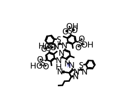 CCCCc1nn(-c2nc3ccccc3s2)c(/N=N/c2c(C)cc(N(c3nc4ccccc4s3)c3c(C)c(S(=O)(=O)O)cc(S(=O)(=O)O)c3C)nc2Nc2c(C)c(S(=O)(=O)O)cc(S(=O)(=O)O)c2C)c1C#N